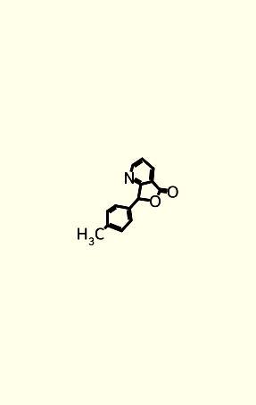 Cc1ccc(C2OC(=O)c3cccnc32)cc1